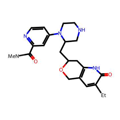 CCc1cc2c([nH]c1=O)CC(CC1CNCCN1c1ccnc(C(=O)NC)c1)OC2